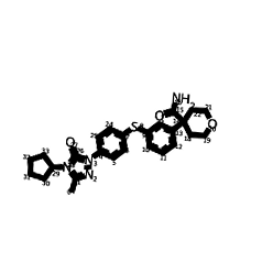 Cc1nn(-c2ccc(Sc3cccc(C4(C(N)=O)CCOCC4)c3)cc2)c(=O)n1C1CCCC1